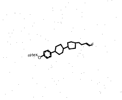 CCCCCCOc1ccc(C2CCC(C3CCC(CCC=CF)CC3)CC2)cc1